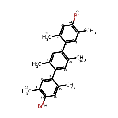 Cc1cc(-c2cc(C)c(-c3cc(C)c(Br)cc3C)cc2C)c(C)cc1Br